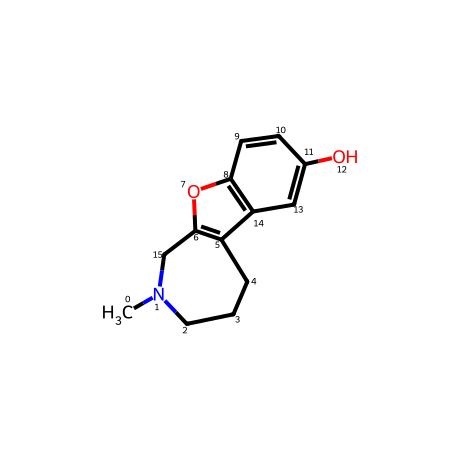 CN1CCCc2c(oc3ccc(O)cc23)C1